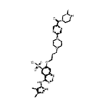 Cc1n[nH]c(Nc2ncnc3cc(OCCCN4CCN(c5cnc(C(=O)N6CCNC(C)C6)cn5)CC4)c(S(=O)(=O)C(C)(C)C)cc23)c1C